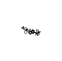 Cc1nc(-c2ccc3c(c2)CC[C@H]3NC(=O)OCC(C)C)no1